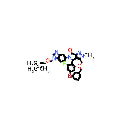 Cn1nc2c(c1COCc1ccccc1)C(c1ccc(Br)cc1F)N(c1ccc3c(c1)ncn3COCC[Si](C)(C)C)C2=O